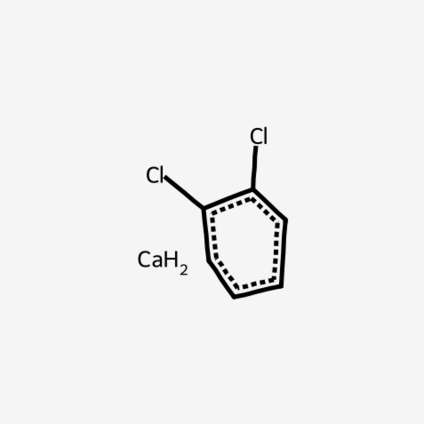 Clc1ccccc1Cl.[CaH2]